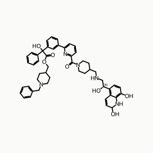 O=C(c1cccc(-c2cccc(C(O)(C(=O)OCC3CCN(Cc4ccccc4)CC3)c3ccccc3)c2)n1)N1CCC(CNC[C@H](O)c2ccc(O)c3c2C=CC(O)N3)CC1